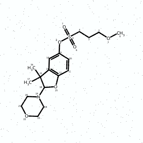 COCCCS(=O)(=O)Oc1ccc2c(c1)C(C)(C)C(N1CCOCC1)O2